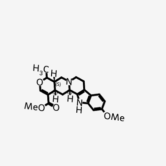 COC(=O)C1=COC(C)[C@@H]2CN3CCc4c([nH]c5cc(OC)ccc45)[C@@H]3C[C@H]12